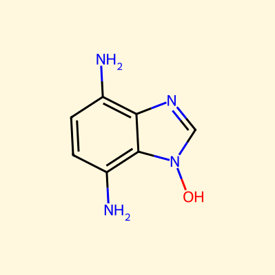 Nc1ccc(N)c2c1ncn2O